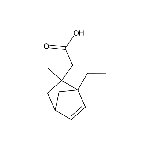 CCC12C=CC(CC1(C)CC(=O)O)C2